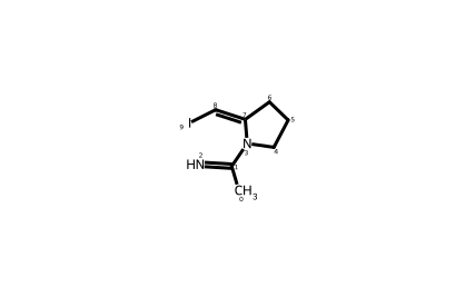 CC(=N)N1CCC/C1=C/I